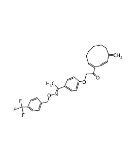 C=C1/C=C\C(C(=O)COc2ccc(/C(C)=N/OCc3ccc(C(F)(F)F)cc3)cc2)=C/CCCCC1